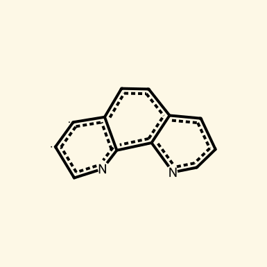 [c]1[c]c2ccc3cccnc3c2nc1